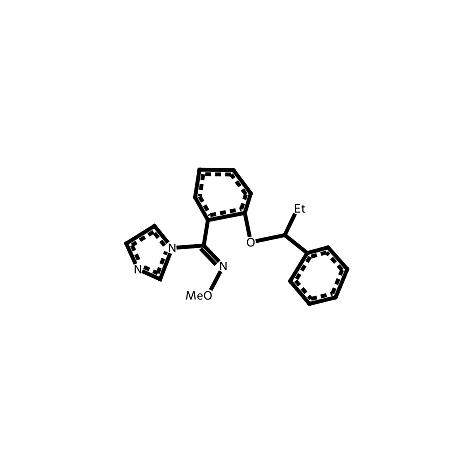 CCC(Oc1ccccc1C(=NOC)n1ccnc1)c1ccccc1